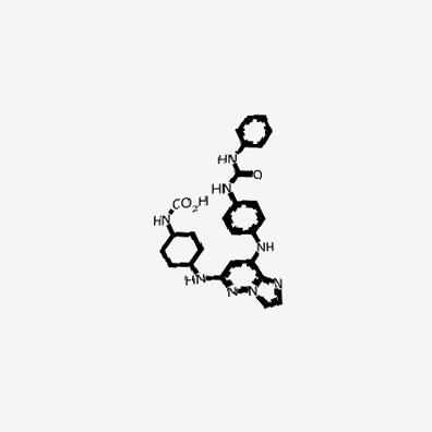 O=C(O)NC1CCC(Nc2cc(Nc3ccc(NC(=O)Nc4ccccc4)cc3)c3nccn3n2)CC1